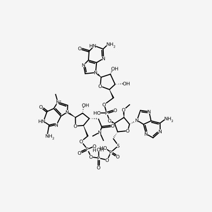 CO[C@@H]1[C@H](OP(=O)(O)OC[C@H]2O[C@@H](n3cnc4c(=O)[nH]c(N)nc43)[C@H](O)[C@@H]2O)[C@@H](CSP(=O)(O)OP(=O)(O)OP(=O)(O)OC[C@H]2O[C@@H](n3c[n+](C)c4c(=O)[nH]c(N)nc43)[C@H](O)[C@@H]2CC(=O)N(C)C)O[C@H]1n1cnc2c(N)ncnc21